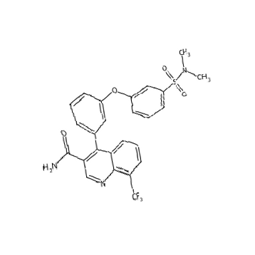 CN(C)S(=O)(=O)c1cccc(Oc2cccc(-c3c(C(N)=O)cnc4c(C(F)(F)F)cccc34)c2)c1